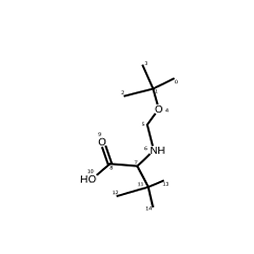 CC(C)(C)OCNC(C(=O)O)C(C)(C)C